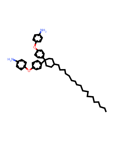 CCCCCCCCCCCCCCCCCCC1CCC(c2ccc(Oc3ccc(N)cc3)cc2)(c2ccc(Oc3ccc(N)cc3)cc2)CC1